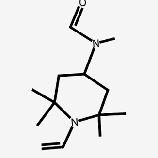 C=CN1C(C)(C)CC(N(C)C=O)CC1(C)C